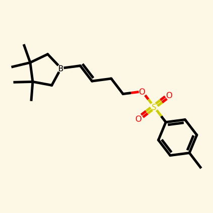 Cc1ccc(S(=O)(=O)OCCC=CB2CC(C)(C)C(C)(C)C2)cc1